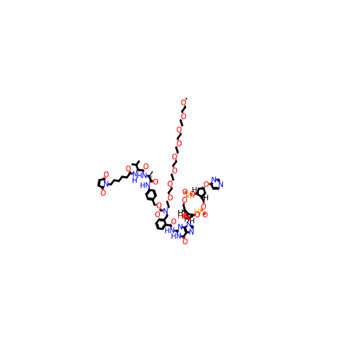 COCCOCCOCCOCCOCCOCCOCCOCCN(Cc1ccccc1C(=O)Nc1nc2c(ncn2[C@@H]2O[C@@H]3CO[PH](=O)O[C@H]4C[C@H](Oc5ccncn5)C[C@@H]4CO[PH](=O)O[C@@H]2[C@@H]3O)c(=O)[nH]1)C(=O)OCc1ccc(NC(=O)[C@H](C)NC(=O)[C@@H](NC(=O)CCCCCN2C(=O)C=CC2=O)C(C)C)cc1